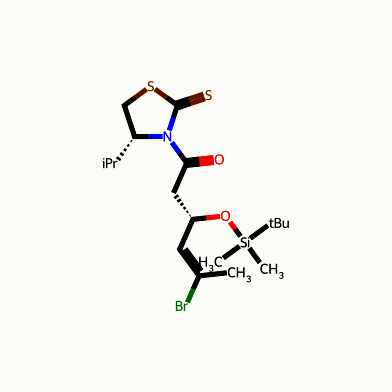 C/C(Br)=C\[C@H](CC(=O)N1C(=S)SC[C@H]1C(C)C)O[Si](C)(C)C(C)(C)C